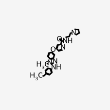 CCc1ccc(Nc2nc3cc(Oc4ccnc(C(=O)NCCCN5CCCC5)c4)ccc3n2C)cc1